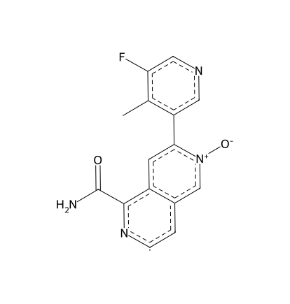 Cc1c(F)cncc1-c1cc2c(C(N)=O)n[c]cc2c[n+]1[O-]